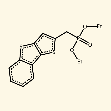 CCOP(=O)(Cc1cc2sc3ccccc3c2s1)OCC